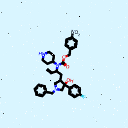 C=CC(CC1CN(Cc2ccccc2)CC1(O)c1ccc(F)cc1)N(C(=O)OCc1ccc([N+](=O)[O-])cc1)C1CCNCC1